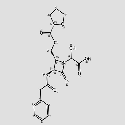 O=C(Cc1ccccc1)N[C@@H]1C(=O)N(C(O)C(=O)O)[C@@H]1CCC(=O)[C@@H]1CCCO1